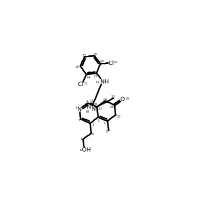 CC1=C2C(CCO)=CN=C3N=C(Nc4c(Cl)cccc4Cl)N(C)C32CC(=O)C1